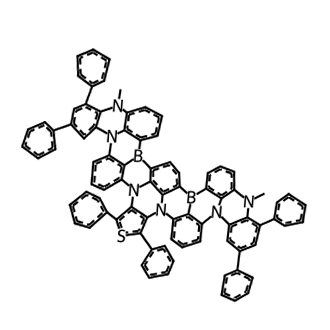 CN1c2cccc3c2N(c2cccc4c2B3c2ccc3c5c2N4c2c(-c4ccccc4)sc(-c4ccccc4)c2N5c2cccc4c2B3c2cccc3c2N4c2cc(-c4ccccc4)cc(-c4ccccc4)c2N3C)c2cc(-c3ccccc3)cc(-c3ccccc3)c21